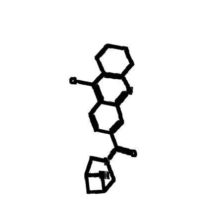 O=C(c1ccc2c(Cl)c3c(nc2c1)CCCC3)N1CC2CC(C1)N2